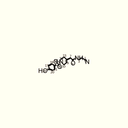 N#CCCNC(=O)C=C1CCN(S(=O)(=O)c2ccc(O)cc2)CC1